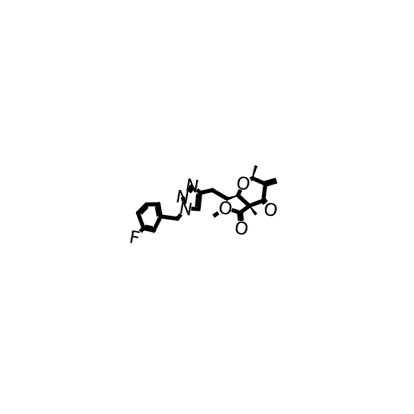 C=C1C(=O)[C@](C)(C(=O)OC)[C@@H](CCc2cn(Cc3cccc(F)c3)nn2)O[C@H]1C